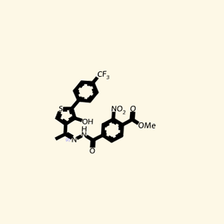 COC(=O)c1ccc(C(=O)N/N=C(/C)c2csc(-c3ccc(C(F)(F)F)cc3)c2O)cc1[N+](=O)[O-]